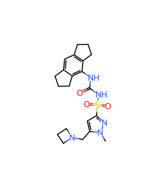 Cn1nc(S(=O)(=O)NC(=O)Nc2c3c(cc4c2CCC4)CCC3)cc1CN1CCC1